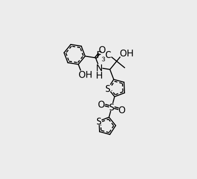 CC(O)(C(NC(=O)c1ccccc1O)c1ccc(S(=O)(=O)c2cccs2)s1)C(F)(F)F